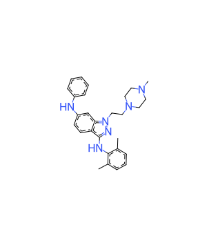 Cc1cccc(C)c1Nc1nn(CCN2CCN(C)CC2)c2cc(Nc3ccccc3)ccc12